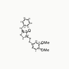 COc1ccc(CCN2CCN(Cc3ccccc3)C2=O)cc1OC